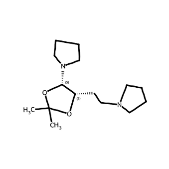 CC1(C)O[C@@H](CCN2CCCC2)[C@@H](N2CCCC2)O1